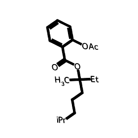 CCC(C)(CCCC(C)C)OC(=O)c1ccccc1OC(C)=O